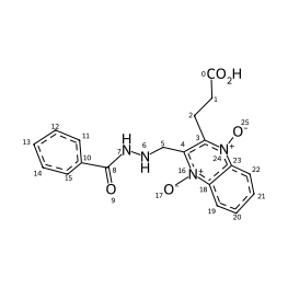 O=C(O)CCc1c(CNNC(=O)c2ccccc2)[n+]([O-])c2ccccc2[n+]1[O-]